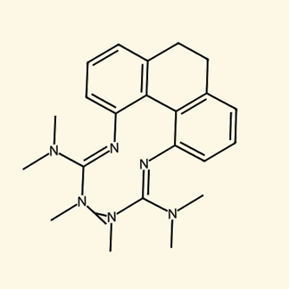 CN(C)C(=Nc1cccc2c1-c1c(cccc1N=C(N(C)C)N(C)C)CC2)N(C)C